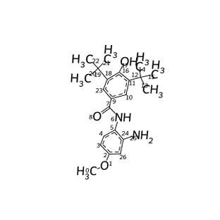 COc1ccc(NC(=O)c2cc(C(C)(C)C)c(O)c(C(C)(C)C)c2)c(N)c1